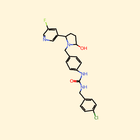 O=C(NCc1ccc(Cl)cc1)Nc1ccc(CN2C(O)CCC2c2cncc(F)c2)cc1